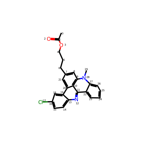 CC(=O)OCCCc1cc2c3c(nc4ccc(Cl)cc4c3c1)-c1ccccc1N2C